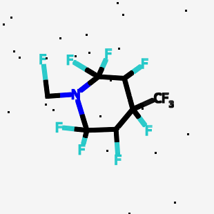 FCN1C(F)(F)C(F)C(F)(C(F)(F)F)C(F)C1(F)F